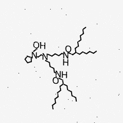 CCCCCCCCC(CCCCCC)CC(=O)NCCCCCN(CCCCCNC(=O)CC(CCCCCC)CCCCCCCC)CCN(CCO)C1CCCC1